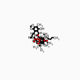 CCCC(=O)Oc1cc2c(cc1OC)[C@@]1(CS[C@@H]3c4c(O)c(C)c5c(c4[C@H](COC1=O)N1C3[C@@H]3c4c(cc(C)c(OC)c4O)C[C@@H]([C@@H]1C#N)N3C(=O)OC(C)(C)C)OCO5)NCC2